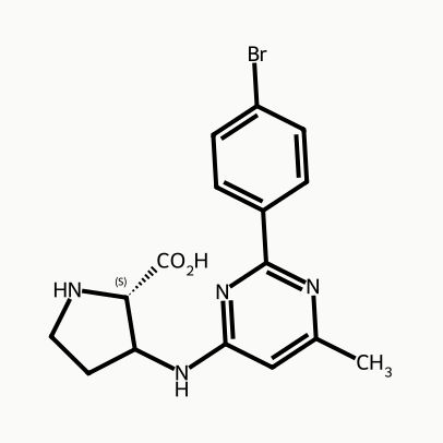 Cc1cc(NC2CCN[C@@H]2C(=O)O)nc(-c2ccc(Br)cc2)n1